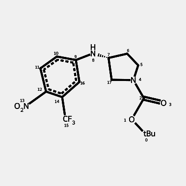 CC(C)(C)OC(=O)N1CC[C@@H](Nc2ccc([N+](=O)[O-])c(C(F)(F)F)c2)C1